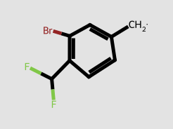 [CH2]c1ccc(C(F)F)c(Br)c1